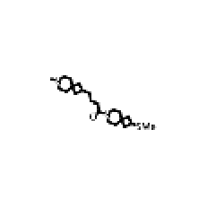 CSC1CC2(CCN(C(=O)CCCC3CC4(CCN(C)CC4)C3)CC2)C1